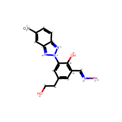 O=[N+]([O-])c1ccc2nn(-c3cc(CCO)cc(C=NP)c3O)nc2c1